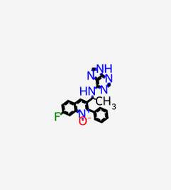 C[C@H](Nc1ncnc2[nH]cnc12)c1cc2ccc(F)cc2[n+]([O-])c1-c1ccccc1